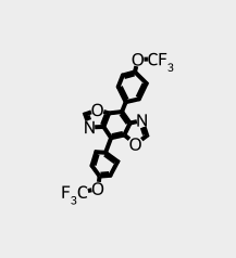 FC(F)(F)Oc1ccc(-c2c3ncoc3c(-c3ccc(OC(F)(F)F)cc3)c3ncoc23)cc1